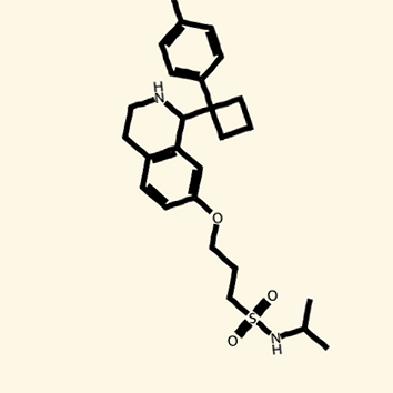 CC(C)NS(=O)(=O)CCCOc1ccc2c(c1)C(C1(c3ccc(Cl)cc3)CCC1)NCC2